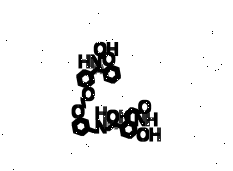 O=C(O)N[C@@H](c1ccccc1)c1cccc(OCCOc2cccc(CNC[C@H](O)c3ccc(O)c4[nH]c(=O)ccc34)c2)c1